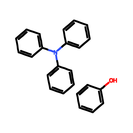 Oc1ccccc1.c1ccc(N(c2ccccc2)c2ccccc2)cc1